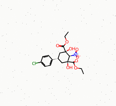 CCOC(=O)[C@]1(O)C[C@H](c2ccc(Cl)cc2)C[C@](O)(C(=O)OCC)[C@H]1[N+](=O)[O-]